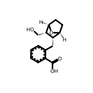 O=C(O)c1ccccc1C[C@@H]1[C@H](CO)[C@H]2CC[C@@H]1O2